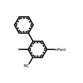 CCCCCc1cc(C#N)c(I)c(-c2ccccc2)c1